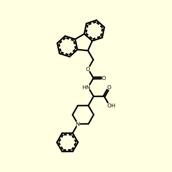 O=C(NC(C(=O)O)C1CCN(c2ccccc2)CC1)OCC1c2ccccc2-c2ccccc21